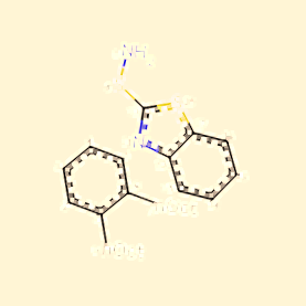 CCCCCCCCc1ccccc1CCCCCCCC.NSc1nc2ccccc2s1